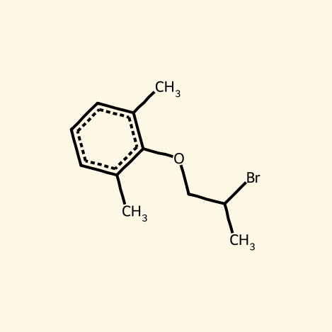 Cc1cccc(C)c1OCC(C)Br